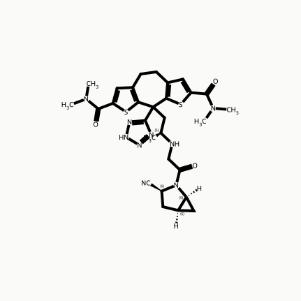 C[C@@H](CC1(c2nn[nH]n2)c2sc(C(=O)N(C)C)cc2CCc2cc(C(=O)N(C)C)sc21)NCC(=O)N1[C@H](C#N)C[C@@H]2C[C@@H]21